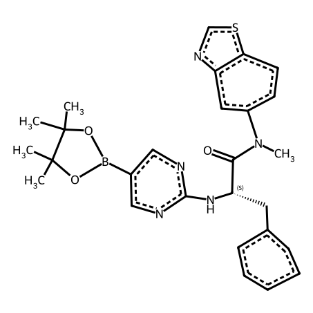 CN(C(=O)[C@H](Cc1ccccc1)Nc1ncc(B2OC(C)(C)C(C)(C)O2)cn1)c1ccc2scnc2c1